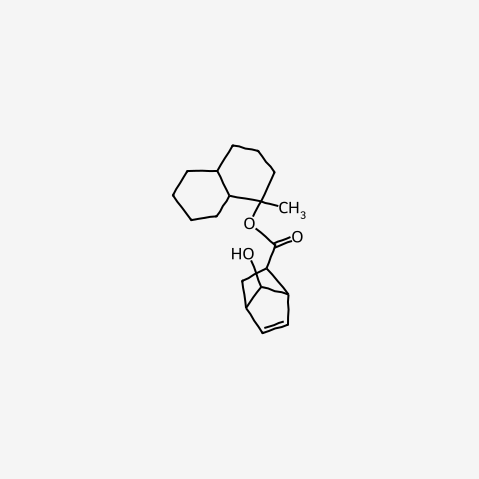 CC1(OC(=O)C2CC3C=CC2C3O)CCCC2CCCCC21